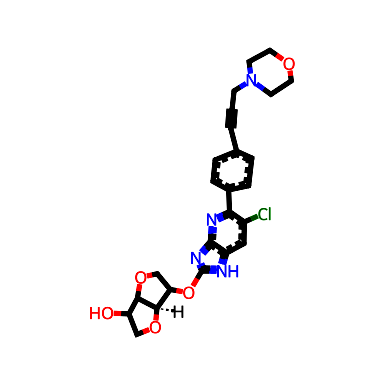 OC1CO[C@@H]2C(Oc3nc4nc(-c5ccc(C#CCN6CCOCC6)cc5)c(Cl)cc4[nH]3)COC12